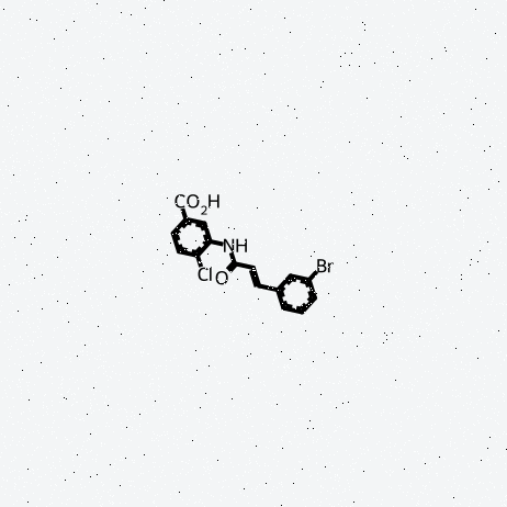 O=C(C=Cc1cccc(Br)c1)Nc1cc(C(=O)O)ccc1Cl